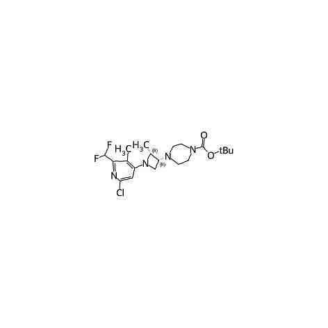 Cc1c(N2C[C@@H](N3CCN(C(=O)OC(C)(C)C)CC3)[C@H]2C)cc(Cl)nc1C(F)F